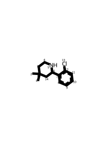 CC1(C)CCNC(c2ccccc2Cl)C1